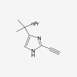 C#Cc1nc(C(C)(C)CCC)c[nH]1